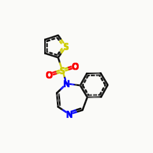 O=S(=O)(c1cccs1)N1C=CN=Cc2ccccc21